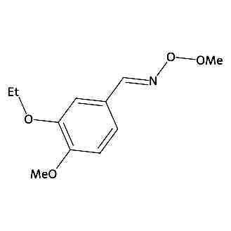 CCOc1cc(C=NOOC)ccc1OC